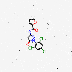 O=C(NC1=NN(c2c(Cl)cc(Cl)cc2Cl)C(=O)C1)c1ccco1